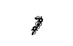 C=COc1c(C)ccc(OC(=O)Oc2ccc(C)c(OC=C)c2C)c1C